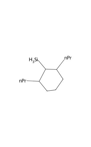 CCCC1CCCC(CCC)C1[SiH3]